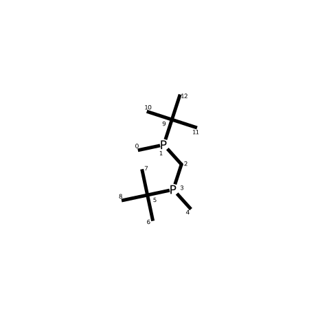 CP(CP(C)C(C)(C)C)C(C)(C)C